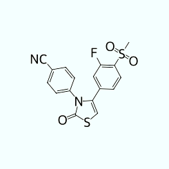 CS(=O)(=O)c1ccc(-c2csc(=O)n2-c2ccc(C#N)cc2)cc1F